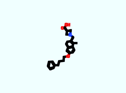 CC1=C(CN2CC(C(=O)O)C2)CCc2cc(OCCCCc3ccccc3)ccc21